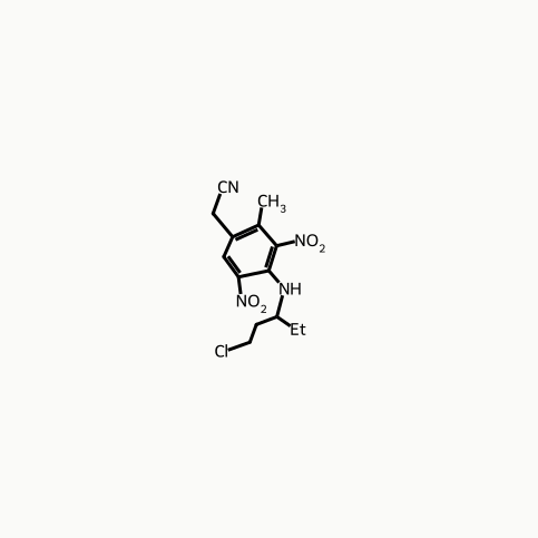 CCC(CCCl)Nc1c([N+](=O)[O-])cc(CC#N)c(C)c1[N+](=O)[O-]